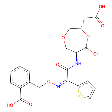 O=C(O)C[C@H]1COC[C@H](NC(=O)/C(=N\OCc2ccccc2C(=O)O)c2cccs2)B(O)O1